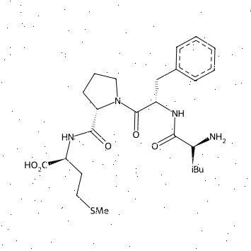 CC[C@H](C)[C@H](N)C(=O)N[C@@H](Cc1ccccc1)C(=O)N1CCC[C@H]1C(=O)N[C@@H](CCSC)C(=O)O